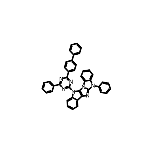 c1ccc(-c2ccc(-c3nc(-c4ccccc4)nc(-n4c5ccccc5c5nc6n(-c7ccccc7)c7ccccc7n6c54)n3)cc2)cc1